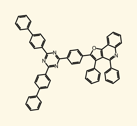 c1ccc(-c2ccc(-c3nc(-c4ccc(-c5ccccc5)cc4)nc(-c4ccc(-c5oc6c(c(-c7ccccc7)nc7ccccc76)c5-c5ccccc5)cc4)n3)cc2)cc1